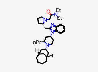 CCC[C@H]1C[C@@H](n2c(C[C@@H]3CCCN3CC(=O)N(CC)CC)nc3ccccc32)CCN1[C@@H]1C[C@@H]2CCCC[C@@H](C2)C1